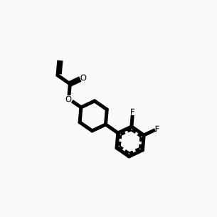 C=CC(=O)OC1CCC(c2cccc(F)c2F)CC1